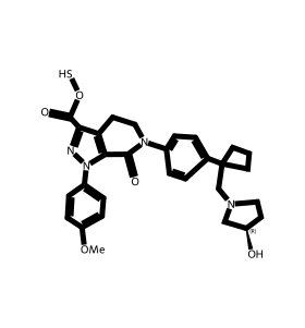 COc1ccc(-n2nc(C(=O)OS)c3c2C(=O)N(c2ccc(C4(CN5CC[C@@H](O)C5)CCC4)cc2)CC3)cc1